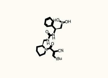 CC(C)(C)C=C(C#N)C(=O)N1CCCC[C@H]1CNC(=O)N[C@H](CB(O)O)c1ccccc1